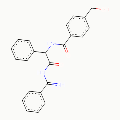 N=C(NC(=O)C(NC(=O)c1ccc(CO)cc1)c1ccccc1)c1ccccc1